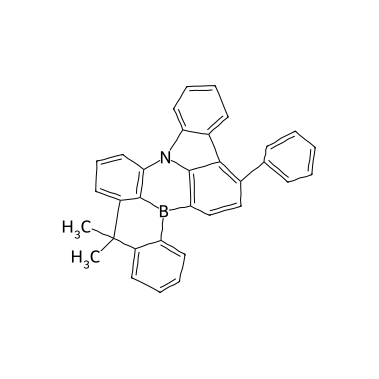 CC1(C)c2ccccc2B2c3c(cccc31)-n1c3ccccc3c3c(-c4ccccc4)ccc2c31